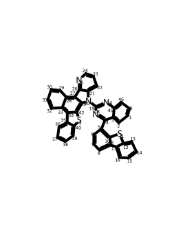 c1ccc2c(-c3cccc4c3sc3ccccc34)nc(-n3c4cccnc4c4c5ccccc5c5c6ccccc6sc5c43)nc2c1